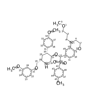 COCCCN1CCOc2ccc(C(O[C@H]3CN[C@H](COc4cccc(OC)c4)C[C@@H]3c3ccc(OC)cc3)S(=O)(=O)c3ccc(C)cc3)cc21